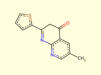 Cc1cnc2c(c1)C(=O)CC(c1cccs1)=N2